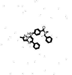 Cc1cc2nc(-c3ccccc3)cc(Nc3ccc(C(=O)N(C)[C@@H](C)c4ccccc4)cc3)n2n1